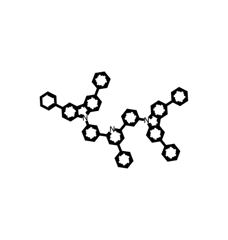 C1=CC(c2ccc3c(c2)c2cc(-c4ccccc4)ccc2n3-c2cccc(-c3cc(-c4ccccc4)cc(-c4cccc(-n5c6ccc(-c7ccccc7)cc6c6cc(-c7ccccc7)ccc65)c4)n3)c2)=CCC1